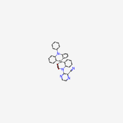 N#Cc1nccnc1N1c2ccccc2[Si]2(c3ccccc3N(c3ccccc3)c3ccccc32)c2ccccc21